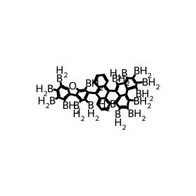 Bc1c(B)c(B)c2c(oc3c(B)c(-c4c5ccccc5c(-c5c(B)c6c(B)c(B)c(B)c(B)c6c6c(B)c(B)c(B)c(B)c56)c5ccccc45)c(B)c(B)c32)c1B